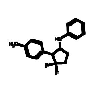 Cc1ccc([C@H]2[C@H](Nc3ccccc3)CCC2(F)F)cc1